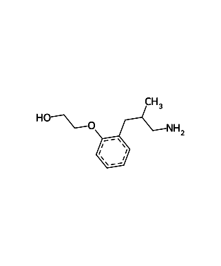 CC(CN)Cc1ccccc1OCCO